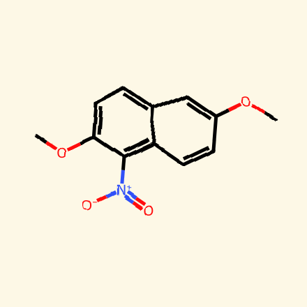 COc1ccc2c([N+](=O)[O-])c(OC)ccc2c1